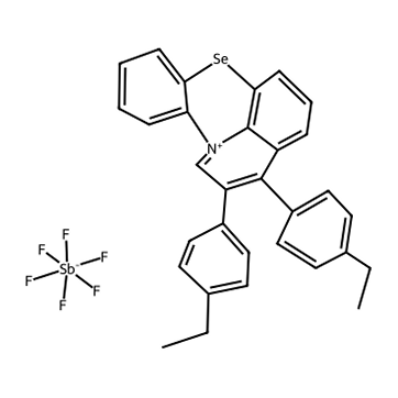 CCc1ccc(-c2c[n+]3c4c(cccc4c2-c2ccc(CC)cc2)[Se]c2ccccc2-3)cc1.[F][Sb-]([F])([F])([F])([F])[F]